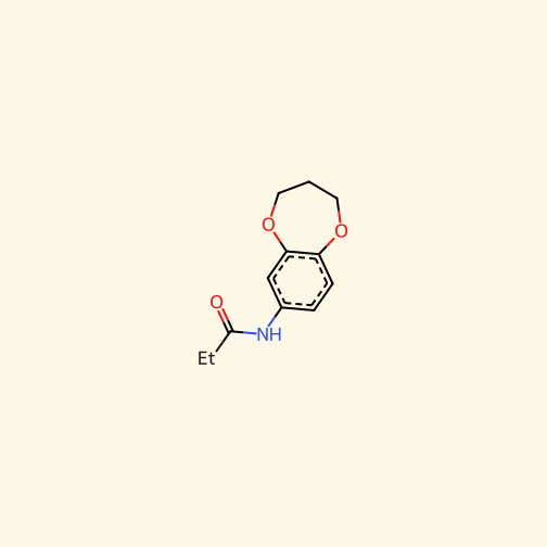 CCC(=O)Nc1ccc2c(c1)OCCCO2